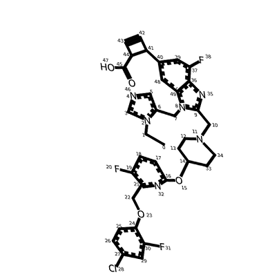 CCn1cncc1Cn1c(CN2CCC(Oc3ccc(F)c(COc4ccc(Cl)cc4F)n3)CC2)nc2c(F)cc(C3C#CC3C(=O)O)cc21